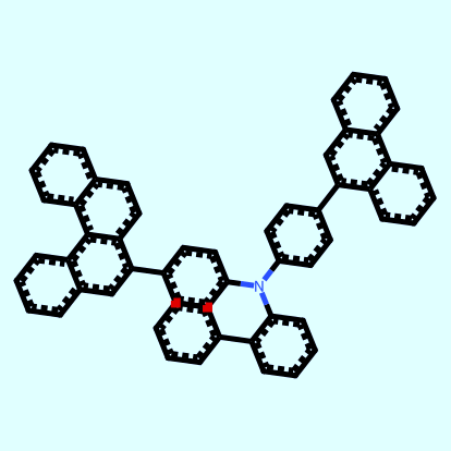 c1ccc(-c2ccccc2N(c2ccc(-c3cc4ccccc4c4ccccc34)cc2)c2ccc(-c3cc4ccccc4c4c3ccc3ccccc34)cc2)cc1